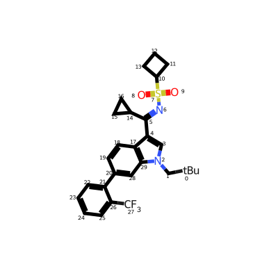 CC(C)(C)Cn1cc(/C(=N/S(=O)(=O)C2CCC2)C2CC2)c2ccc(-c3ccccc3C(F)(F)F)cc21